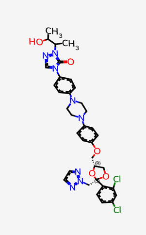 CC(O)C(C)n1ncn(-c2ccc(N3CCN(c4ccc(OC[C@@H]5CO[C@@](Cn6nccn6)(c6ccc(Cl)cc6Cl)O5)cc4)CC3)cc2)c1=O